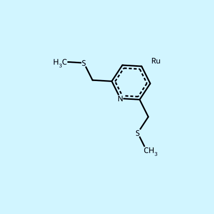 CSCc1cccc(CSC)n1.[Ru]